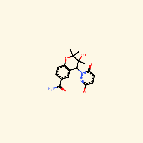 CC1(C)Oc2ccc(C(N)=O)cc2C(n2nc(O)ccc2=O)C1(C)O